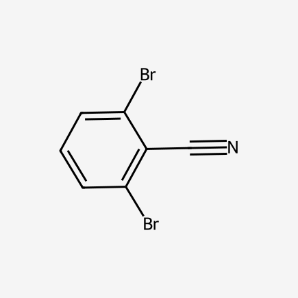 N#Cc1c(Br)cccc1Br